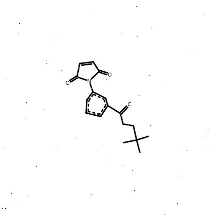 CC(C)(C)CCC(=O)c1cccc(N2C(=O)C=CC2=O)c1